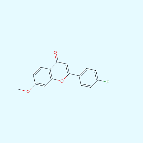 COc1ccc2c(=O)cc(-c3ccc(F)cc3)oc2c1